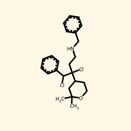 CC1(C)CC(C(Cl)(CCNCc2ccccc2)C(Cl)c2ccccc2)CCO1